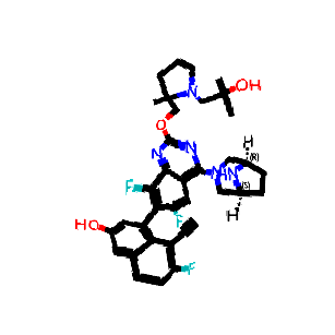 C#Cc1c(F)ccc2cc(O)cc(-c3c(F)cc4c(N5C[C@H]6CC[C@@H](C5)N6)nc(OCC5(C)CCCN5CC(C)(C)O)nc4c3F)c12